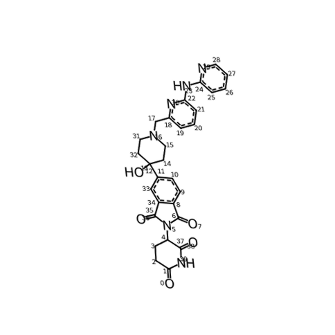 O=C1CCC(N2C(=O)c3ccc(C4(O)CCN(Cc5cccc(Nc6ccccn6)n5)CC4)cc3C2=O)C(=O)N1